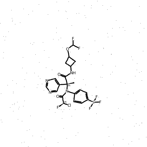 C[C@](C(=O)NC1CC(OC(F)F)C1)(c1cncnc1)N(C(=O)[C@H](F)Cl)c1ccc(S(F)(F)F)cc1